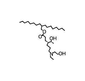 CCCCCCCCC(CCCCCCCC)COC(=O)CC[C@H](CCCN(CC)CCO)[C@H](C)O